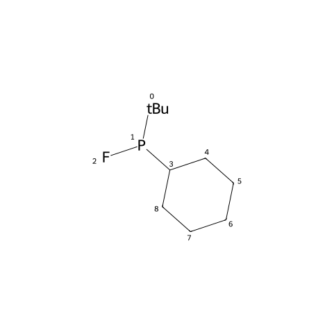 CC(C)(C)P(F)C1CCCCC1